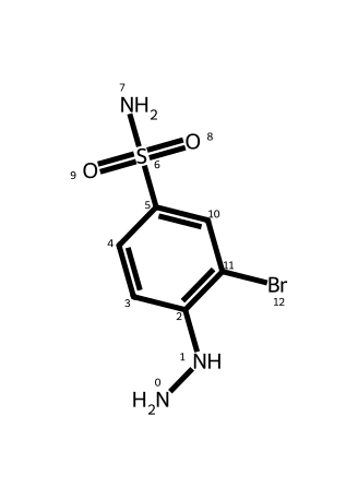 NNc1ccc(S(N)(=O)=O)cc1Br